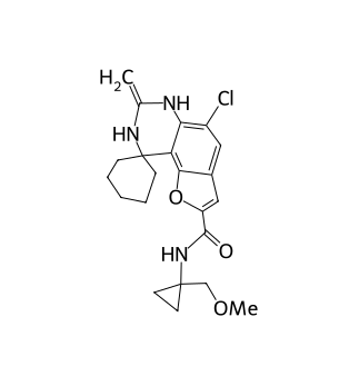 C=C1Nc2c(Cl)cc3cc(C(=O)NC4(COC)CC4)oc3c2C2(CCCCC2)N1